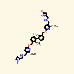 COc1nc(OCC2=C(C)C(c3cccc(COc4ccc(CNCC5CCN5)c(OC)n4)c3C)CC=C2)ccc1CNCC1CC(=O)N1